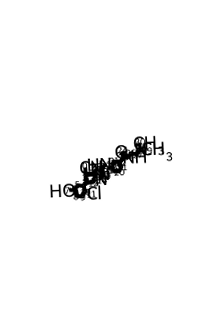 Cc1cc(C2CC(O)=CC=C2Cl)cc2nnc(Nc3cccc(C(=O)NCCN(C)C)c3)nc12